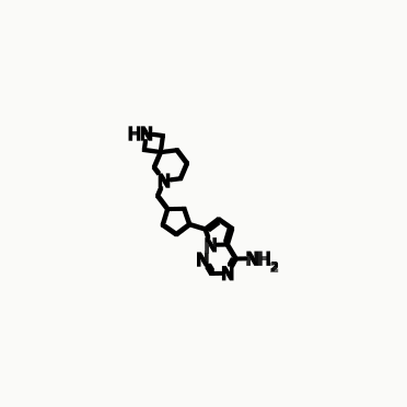 Nc1ncnn2c(C3CCC(CN4CCCC5(CNC5)C4)C3)ccc12